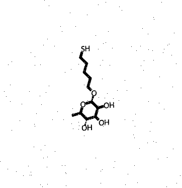 CC1O[C@@H](OCCCCCS)C(O)C(O)[C@@H]1O